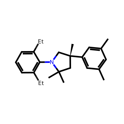 CCc1cccc(CC)c1N1C[C@](C)(c2cc(C)cc(C)c2)CC1(C)C